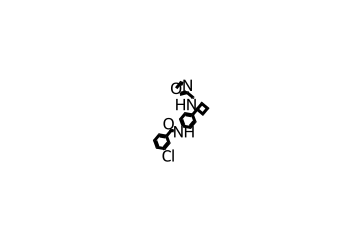 O=C(Nc1ccc(C2(NCc3cocn3)CCC2)cc1)c1cccc(Cl)c1